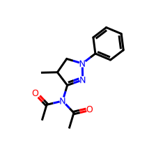 CC(=O)N(C(C)=O)C1=NN(c2ccccc2)CC1C